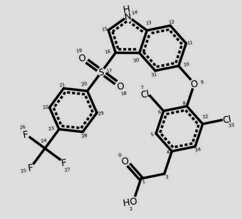 O=C(O)Cc1cc(Cl)c(Oc2ccc3[nH]cc(S(=O)(=O)c4ccc(C(F)(F)F)cc4)c3c2)c(Cl)c1